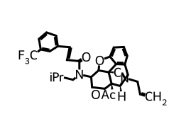 C=CCN1CC[C@]23c4c5cccc4OC2C(N(CC(C)C)C(=O)/C=C/c2cccc(C(F)(F)F)c2)CC[C@@]3(OC(C)=O)[C@H]1C5